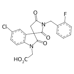 O=C(O)CN1C(=O)C2(CC(=O)N(Cc3ccccc3F)C2=O)c2cc(Cl)ccc21